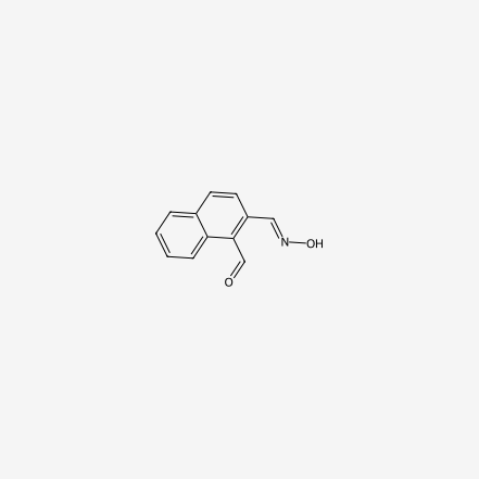 O=Cc1c(C=NO)ccc2ccccc12